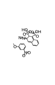 COc1cccc([N+](=O)[O-])c1.[N-]=[N+]=C1C=c2ccccc2=C(S(=O)(=O)O)C1S(=O)(=O)O